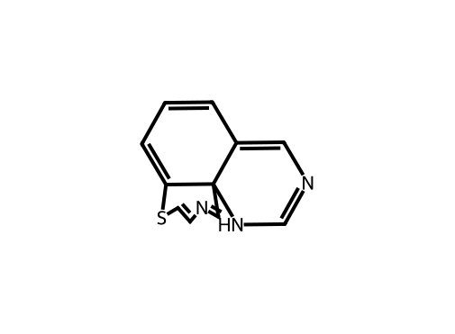 C1=CC2=CN=CNC23C=NC=CSC3=C1